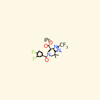 CC(C)OC(=O)C1=CN(C(=O)c2ccc(F)c(F)c2)CC(C)(C)c2c1nc(C(F)(F)F)n2C